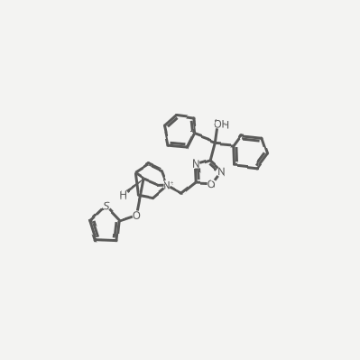 OC(c1ccccc1)(c1ccccc1)c1noc(C[N+]23CCC(CC2)[C@@H](Oc2cccs2)C3)n1